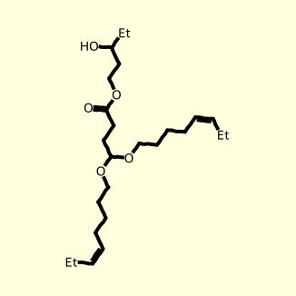 [CH2]CC(O)CCOC(=O)CCC(OCCCC/C=C\CC)OCCCC/C=C\CC